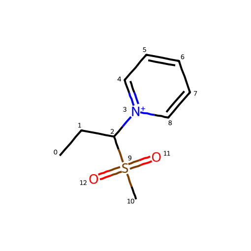 CCC([n+]1ccccc1)S(C)(=O)=O